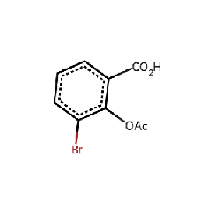 CC(=O)Oc1c(Br)cccc1C(=O)O